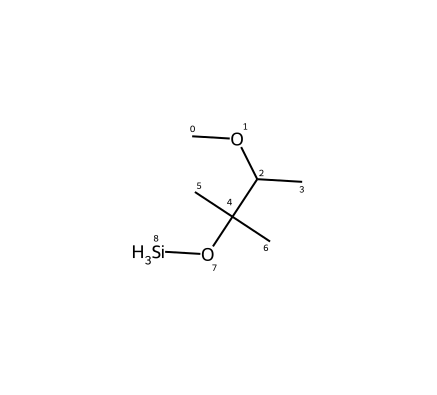 COC(C)C(C)(C)O[SiH3]